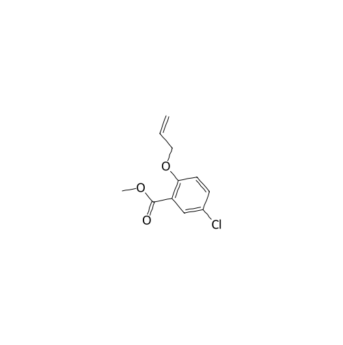 C=CCOc1ccc(Cl)cc1C(=O)OC